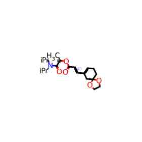 CC(C)N(C(=O)[C@@H](C)OC(=O)/C=C/C1=CCCC2(C1)OCCO2)C(C)C